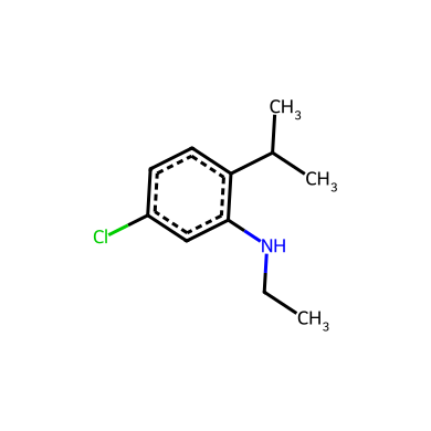 CCNc1cc(Cl)ccc1C(C)C